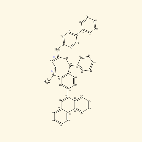 C/C1=C\C=C(\Nc2ccc(-c3ccccc3)cc2)CN(c2ccccc2)c2ccc(-c3cc4ccccc4c4ccccc34)cc21